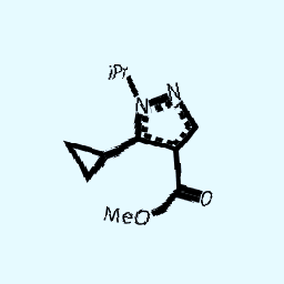 COC(=O)c1cnn(C(C)C)c1C1CC1